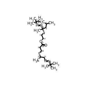 CC(C)CC(C)(N=NC(C)(C)C)SCCOC(=O)CCSC(C)CN=NC(C)(C)C